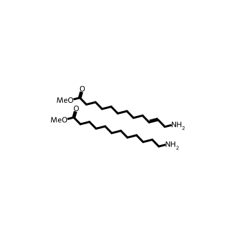 COC(=O)CCCCCCCCC=CCN.COC(=O)CCCCCCCCCCCN